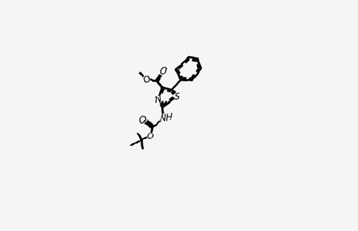 COC(=O)c1nc(NC(=O)OC(C)(C)C)sc1-c1ccccc1